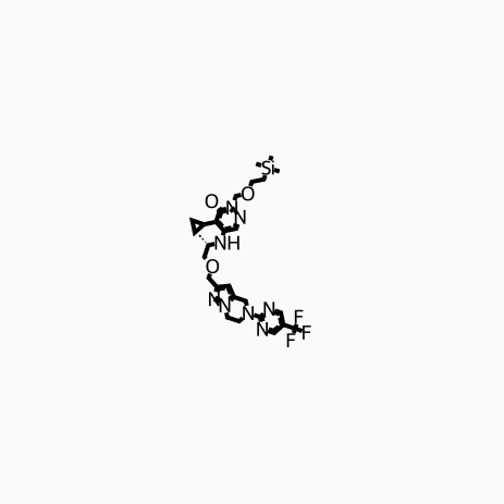 C[C@@H](COCc1cc2n(n1)CCN(c1ncc(C(F)(F)F)cn1)C2)Nc1cnn(COCC[Si](C)(C)C)c(=O)c1C1CC1